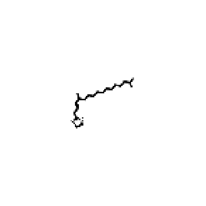 CC(C)CCCCCCCCCCC(C)C=CCC1=NCCO1